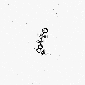 CS(=O)(=O)N1CCCc2cc(C(=O)NC3=NNC(c4ccccn4)N3)ccc21